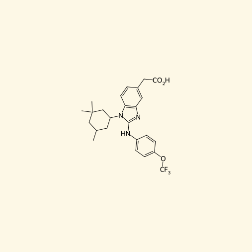 CC1CC(n2c(Nc3ccc(OC(F)(F)F)cc3)nc3cc(CC(=O)O)ccc32)CC(C)(C)C1